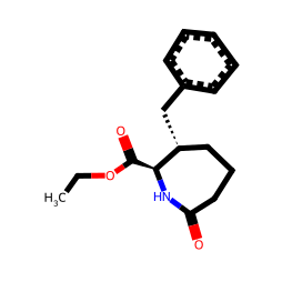 CCOC(=O)[C@@H]1NC(=O)CCC[C@H]1Cc1ccccc1